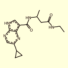 CCNC(=O)CC(C)NC(=O)c1c[nH]c2ncc(C3CC3)nc12